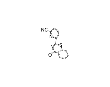 N#Cc1cccc(-c2nc(=O)c3ccccc3s2)n1